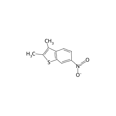 Cc1sc2cc([N+](=O)[O-])ccc2c1C